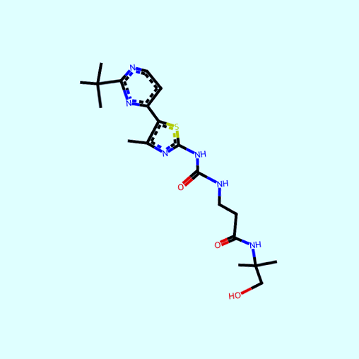 Cc1nc(NC(=O)NCCC(=O)NC(C)(C)CO)sc1-c1ccnc(C(C)(C)C)n1